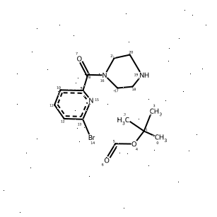 CC(C)(C)OC=O.O=C(c1cccc(Br)n1)N1CCNCC1